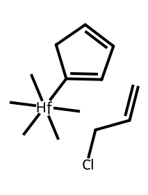 C=CCCl.[CH3][Hf]([CH3])([CH3])([CH3])([CH3])[C]1=CC=CC1